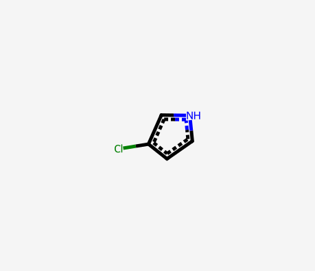 Clc1cc[nH]c1